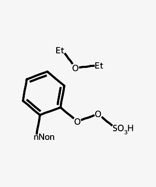 CCCCCCCCCc1ccccc1OOS(=O)(=O)O.CCOCC